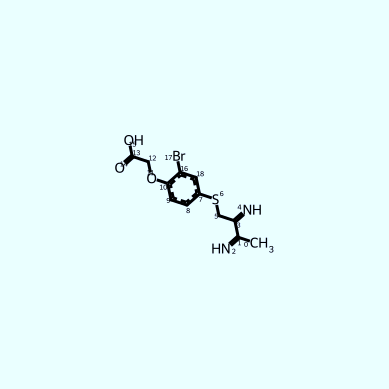 CC(=N)C(=N)CSc1ccc(OCC(=O)O)c(Br)c1